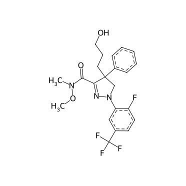 CON(C)C(=O)C1=NN(c2cc(C(F)(F)F)ccc2F)CC1(CCCO)c1ccccc1